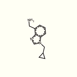 NCc1cccc2c1ncn2CC1CC1